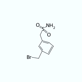 NS(=O)(=O)Cc1cccc(CBr)c1